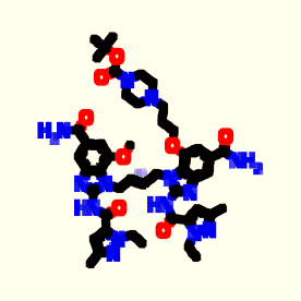 CCn1nc(C)cc1C(=O)Nc1nc2cc(C(N)=O)cc(OC)c2n1C/C=C/Cn1c(NC(=O)c2cc(C)nn2CC)nc2cc(C(N)=O)cc(OCCCN3CCN(C(=O)OC(C)(C)C)CC3)c21